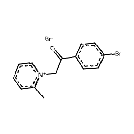 Cc1cccc[n+]1CC(=O)c1ccc(Br)cc1.[Br-]